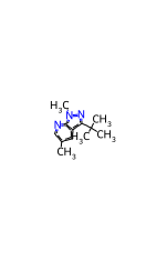 Cc1cnc2c(c1)c(C(C)(C)C)nn2C